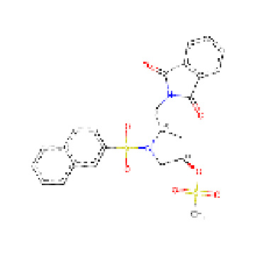 CS(=O)(=O)O[C@@H]1C[C@@H](CN2C(=O)c3ccccc3C2=O)N(S(=O)(=O)c2ccc3ccccc3c2)C1